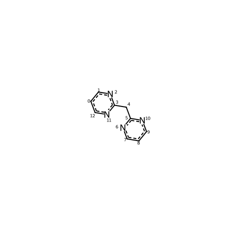 c1cnc(Cc2ncccn2)nc1